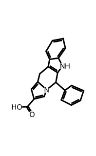 O=C(O)c1cc2n(c1)C(c1ccccc1)c1[nH]c3ccccc3c1C2